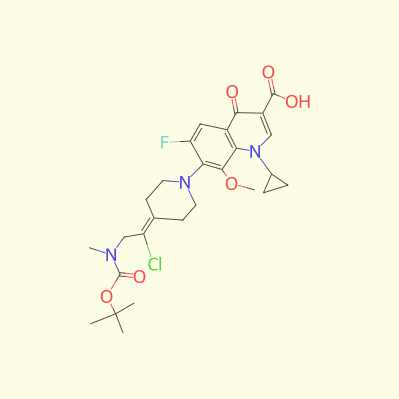 COc1c(N2CCC(=C(Cl)CN(C)C(=O)OC(C)(C)C)CC2)c(F)cc2c(=O)c(C(=O)O)cn(C3CC3)c12